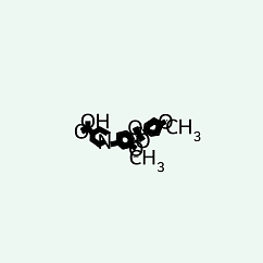 COc1ccc(S(=O)(=O)c2ccc(CN3CCC(C(=O)O)CC3)cc2OC)cc1